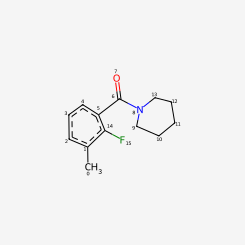 Cc1cccc(C(=O)N2CCCCC2)c1F